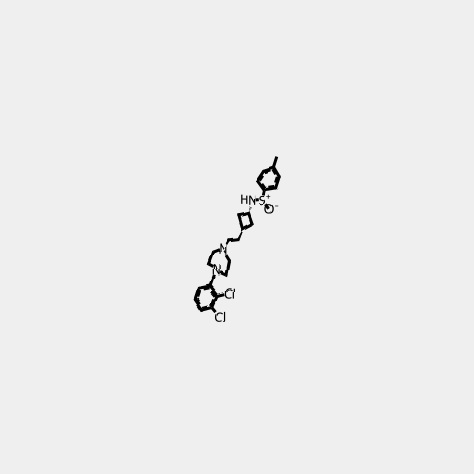 Cc1ccc([S+]([O-])N[C@H]2C[C@H](CCN3CCN(c4cccc(Cl)c4Cl)CC3)C2)cc1